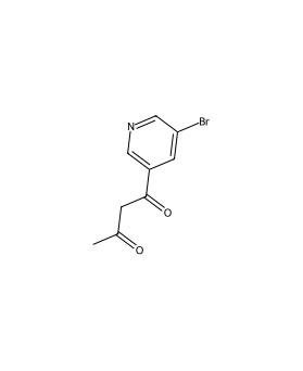 CC(=O)CC(=O)c1cncc(Br)c1